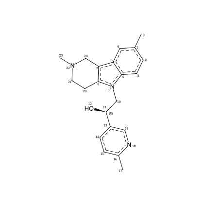 Cc1ccc2c(c1)c1c(n2C[C@H](O)c2ccc(C)nc2)CCN(C)C1